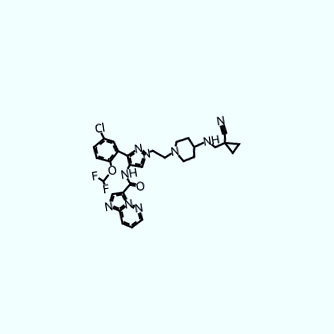 N#CC1(CNC2CCN(CCn3cc(NC(=O)c4cnc5cccnn45)c(-c4cc(Cl)ccc4OC(F)F)n3)CC2)CC1